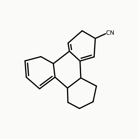 N#CC1C=C2C(=CC1)C1CC=CC=C1C1CCCCC21